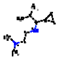 CC(C)C(NCCN(C)C)C1CC1